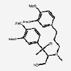 COc1ccc(CCCN(C)C(CC#N)C(C)(c2ccc(OC)c(OC)c2)C(C)C)cc1OC